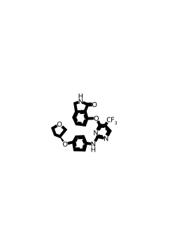 O=C1NCc2cccc(Oc3nc(Nc4ccc(O[C@H]5CCOC5)cc4)ncc3C(F)(F)F)c21